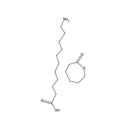 NCCCCCCCCCCC(=O)O.O=C1CCCCCO1